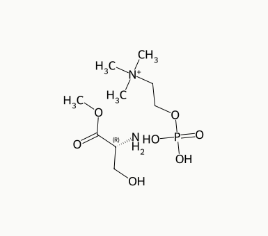 COC(=O)[C@H](N)CO.C[N+](C)(C)CCOP(=O)(O)O